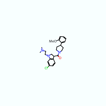 COc1ccccc1C1CCN(C(=O)C2CN(CCN(C)C)c3cc(Cl)ccc32)CC1